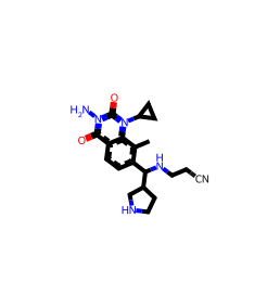 Cc1c(C(NCCC#N)C2CCNC2)ccc2c(=O)n(N)c(=O)n(C3CC3)c12